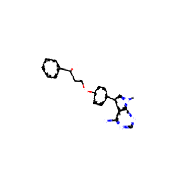 CC(C)n1cc(-c2ccc(OCCC(O)c3ccccc3)cc2)c2c(N)ncnc21